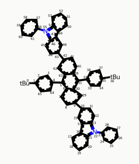 CC(C)(C)c1ccc(-c2c3ccc(-c4ccc5c(c4)c4ccccc4n5-c4ccccc4)cc3c(-c3ccc(C(C)(C)C)cc3)c3ccc(-c4ccc5c(c4)c4ccccc4n5-c4ccccc4)cc23)cc1